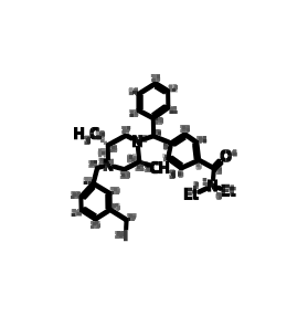 CCN(CC)C(=O)c1ccc(C(c2ccccc2)N2C[C@@H](C)N(Cc3cccc(CI)c3)C[C@@H]2C)cc1